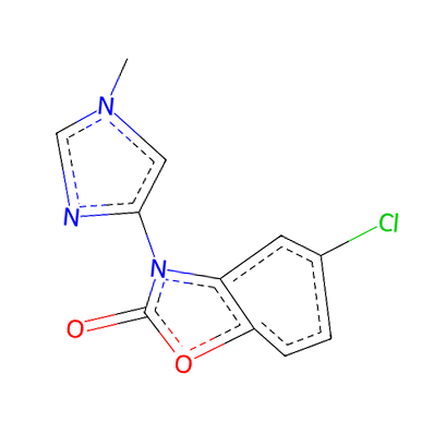 Cn1cnc(-n2c(=O)oc3ccc(Cl)cc32)c1